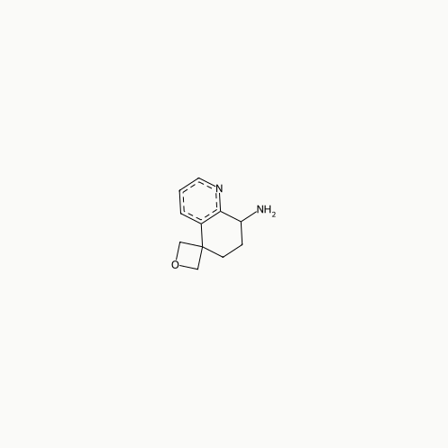 NC1CCC2(COC2)c2cccnc21